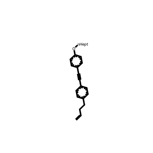 C=CCCc1ccc(C#Cc2ccc(OCCCCCCC)cc2)cc1